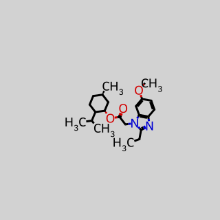 CCc1nc2ccc(OC)cc2n1CC(=O)O[C@@H]1C[C@H](C)CCC1C(C)C